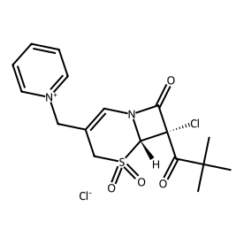 CC(C)(C)C(=O)[C@]1(Cl)C(=O)N2C=C(C[n+]3ccccc3)CS(=O)(=O)[C@H]21.[Cl-]